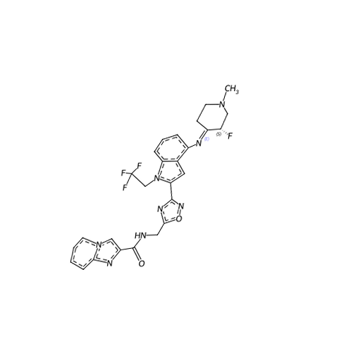 CN1CC/C(=N\c2cccc3c2cc(-c2noc(CNC(=O)c4cn5ccccc5n4)n2)n3CC(F)(F)F)[C@@H](F)C1